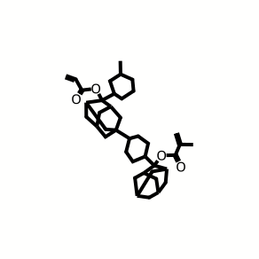 C=CC(=O)OC1(C2CCCC(C)C2)C2CC3CC1CC(C1CCC(C4(OC(=O)C(=C)C)C5CC6CC(C5)CC4C6)CC1)(C3)C2